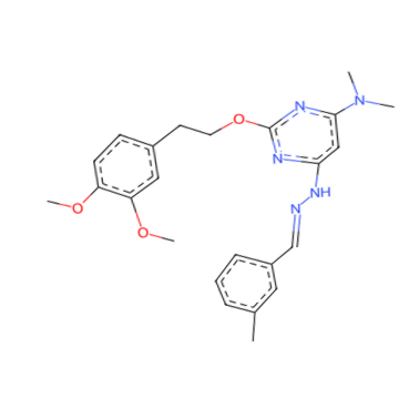 COc1ccc(CCOc2nc(NN=Cc3cccc(C)c3)cc(N(C)C)n2)cc1OC